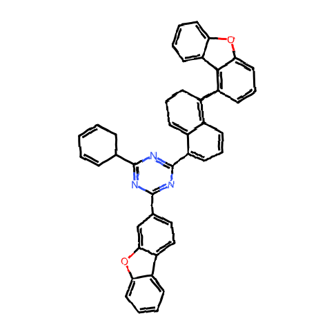 C1=CCC(c2nc(-c3ccc4c(c3)oc3ccccc34)nc(-c3cccc4c3=CCCC=4c3cccc4oc5ccccc5c34)n2)C=C1